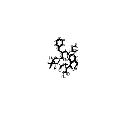 CC1(C)[C@@H]2[C@@H](C(=O)NC(C(N)=O)c3nncc4ccccc34)N(C(=O)C(Cc3ccccc3)NC(=O)[C@H]3CCOC3)C[C@@H]21